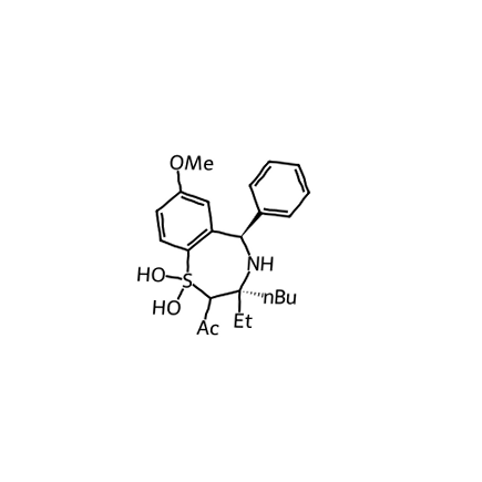 CCCC[C@@]1(CC)N[C@H](c2ccccc2)c2cc(OC)ccc2S(O)(O)C1C(C)=O